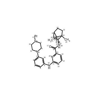 CC(C)N1CCN(c2cccc(Nc3nccc(C(=O)NC4CC5CCC4(C)C5(C)C)n3)c2)CC1